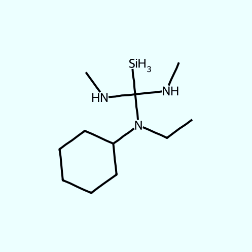 CCN(C1CCCCC1)C([SiH3])(NC)NC